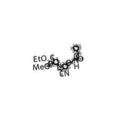 CCOC(=O)c1ccc(-n2cc(C#N)c3ccc(OCCNC(=O)OCc4ccccc4)cc32)cc1OCOC